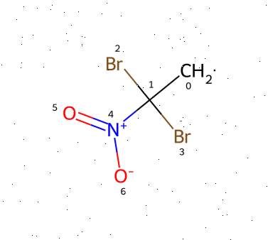 [CH2]C(Br)(Br)[N+](=O)[O-]